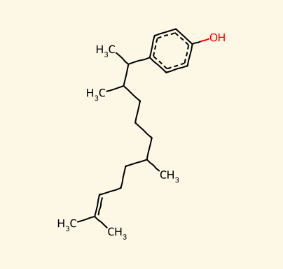 CC(C)=CCCC(C)CCCC(C)C(C)c1ccc(O)cc1